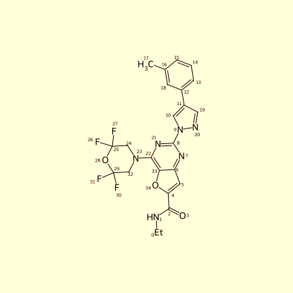 CCNC(=O)c1cc2nc(-n3cc(-c4cccc(C)c4)cn3)nc(N3CC(F)(F)OC(F)(F)C3)c2o1